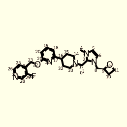 C[C@@H](C1N(C)C=CN1C[C@@H]1CCO1)N1CCC(c2cccc(OCc3ccncc3F)n2)CC1